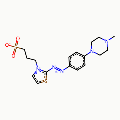 CN1CCN(c2ccc(/N=N/c3scc[n+]3CCCS(=O)(=O)[O-])cc2)CC1